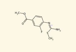 COC(=O)c1ccc(/N=C(/N)SC)c(F)c1